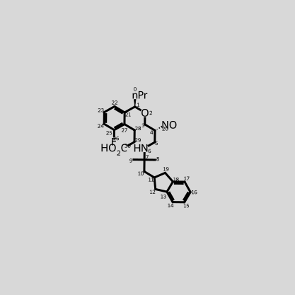 CCC[C@@H](OC[C@@H](CNC(C)(C)CC1Cc2ccccc2C1)N=O)c1cccc(F)c1CCC(=O)O